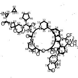 CO[C@@H](C)c1ncc(N2CCN3CCOC[C@@H]3C2)cc1-c1c2c3cc(ccc3n1CC(F)(F)F)C1=CCCN(C1)C[C@H](NC(=O)[C@H](C1CCCC1)N1CCOC3(CN(C(=O)[C@@H]4N[C@@H]4C4CC4)C3)C1)C(=O)N1CCC[C@H](N1)C(=O)OCC(C)(C)C2